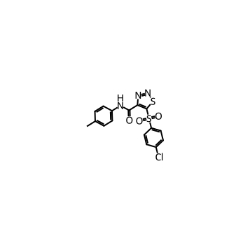 Cc1ccc(NC(=O)c2nnsc2S(=O)(=O)c2ccc(Cl)cc2)cc1